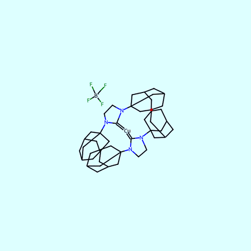 C1C2CC3CC1CC(N1CCN(C45CC6CC(CC(C6)C4)C5)[C]1=[Cu]=[C]1N(C45CC6CC(CC(C6)C4)C5)CCN1C14CC5CC(CC(C5)C1)C4)(C2)C3.F[B-](F)(F)F